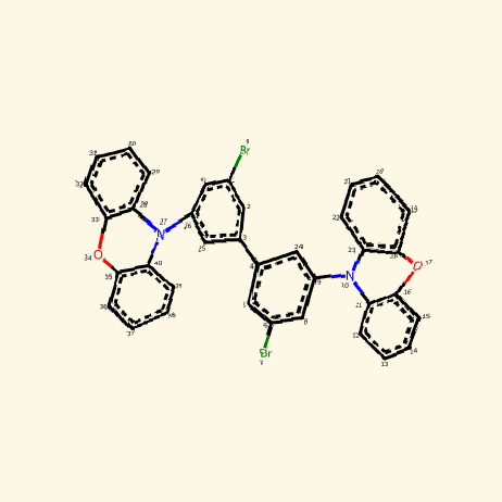 Brc1cc(-c2cc(Br)cc(N3c4ccccc4Oc4ccccc43)c2)cc(N2c3ccccc3Oc3ccccc32)c1